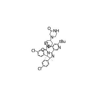 CCOc1cc(C(C)(C)C)ncc1C1=N[C@@](C)(c2ccc(Cl)cc2)[C@@](C)(c2ccc(Cl)cc2)N1C(=O)N1CCC(N2CCNC(=O)C2)CC1